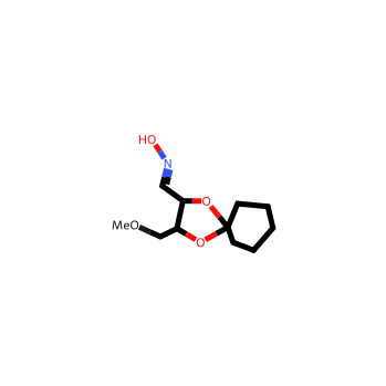 COCC1OC2(CCCCC2)OC1/C=N/O